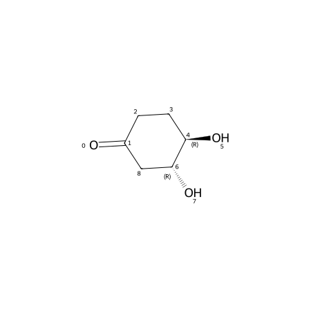 O=C1CC[C@@H](O)[C@H](O)C1